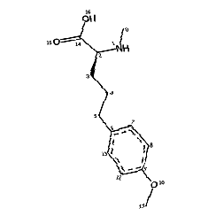 CN[C@@H](CCCc1ccc(OC)cc1)C(=O)O